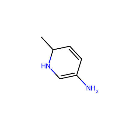 CC1C=CC(N)=CN1